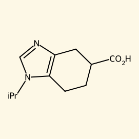 CC(C)n1cnc2c1CCC(C(=O)O)C2